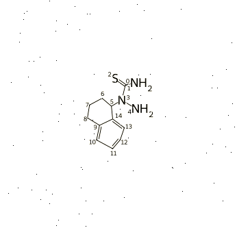 NC(=S)N(N)C1CCCc2ccccc21